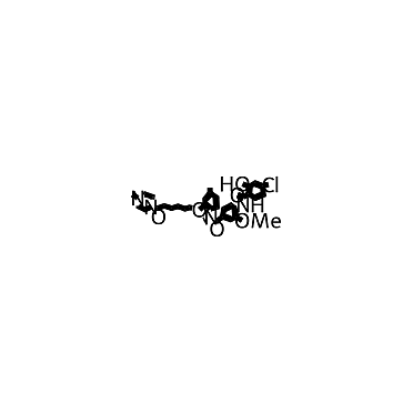 COc1cc(C(=O)N(C)c2ccc(C)cc2OCCCCCC(=O)N2CCN(C)CC2)ccc1NC(=O)c1ccc(Cl)cc1O